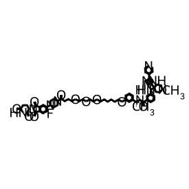 C[C@@H](NC(=O)c1cccc(NC2(c3nnc(-c4ccncc4)[nH]3)CCN(C)CC2)c1)c1cccc(OCCCCCCOCCOCCOCCCC(=O)N2CCN(c3cc4c(cc3F)C(=O)N(C3CCC(=O)NC3=O)C4=O)CC2)c1